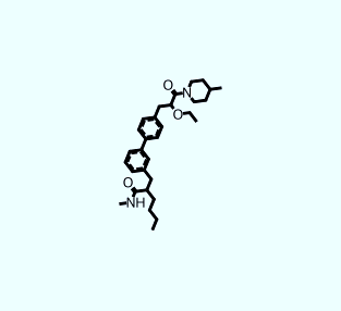 CCCCC(Cc1cccc(-c2ccc(CC(OCC)C(=O)N3CCC(C)CC3)cc2)c1)C(=O)NC